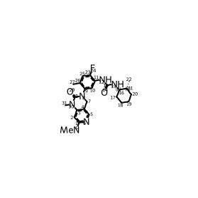 CNc1cc2c(cn1)CN(c1cc(NC(=O)N[C@@H]3CCCC[C@H]3C)c(F)cc1C)C(=O)N2C